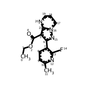 CCOC(=O)c1c(-c2ccc(C)nc2F)nn2cccnc12